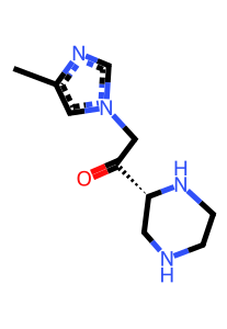 Cc1cn(CC(=O)[C@H]2CNCCN2)cn1